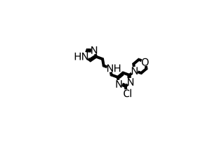 Clc1nc(CNCCc2c[nH]cn2)cc(N2CCOCC2)n1